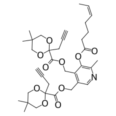 C#CCC1(C(=O)OCc2cnc(C)c(OC(=O)CCC/C=C\C)c2COC(=O)C2(CC#C)OCC(C)(C)CO2)OCC(C)(C)CO1